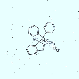 CC1=Cc2ccccc2[C]1([Ti+3])C(C)(c1ccccc1)c1ccccc1.[Cl-].[Cl-].[Cl-]